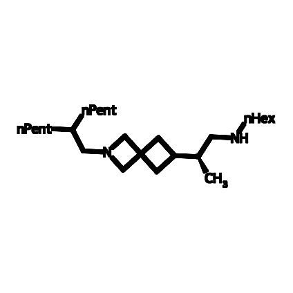 CCCCCCNC[C@@H](C)C1CC2(C1)CN(CC(CCCCC)CCCCC)C2